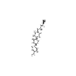 CCC1CCC(C2CCC(C3CCC(CCCCC#N)CC3)CC2)CC1